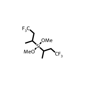 CO[Si](OC)(C(C)CC(F)(F)F)C(C)CC(F)(F)F